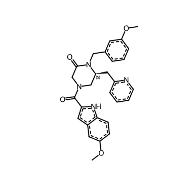 COc1cccc(CN2C(=O)CN(C(=O)c3cc4cc(OC)ccc4[nH]3)C[C@@H]2Cc2ccccn2)c1